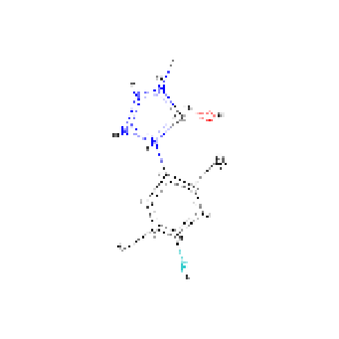 CCc1cc(F)c(C)cc1-n1nnn(C)c1=O